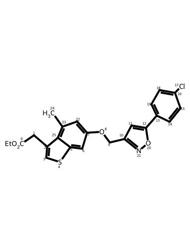 CCOC(=O)Cc1csc2cc(OCc3cc(-c4ccc(Cl)cc4)on3)cc(C)c12